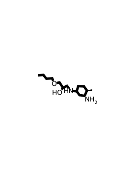 CCCCOCC(O)CNC1CC[C@@H](C)C(N)C1